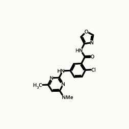 CNc1cc(C)nc(Nc2ccc(Cl)c(C(=O)Nc3cocn3)c2)n1